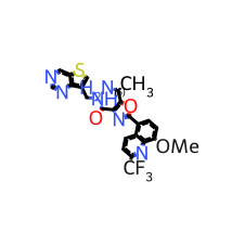 COc1ccc(-c2nc(C(=O)NCc3csc4cncnc34)c([C@H](C)N)o2)c2ccc(C(F)(F)F)nc12